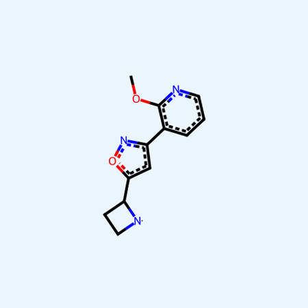 COc1ncccc1-c1cc(C2CC[N]2)on1